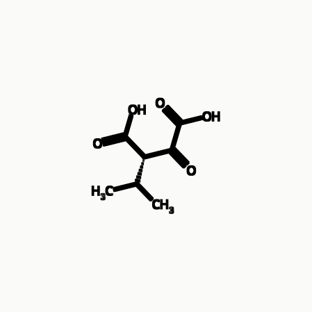 CC(C)[C@H](C(=O)O)C(=O)C(=O)O